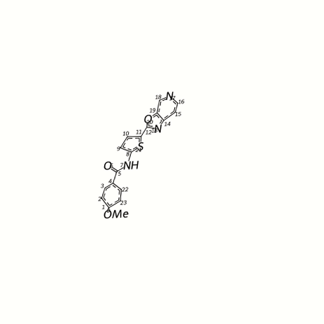 COc1ccc(C(=O)Nc2ccc(-c3nc4ccncc4o3)s2)cc1